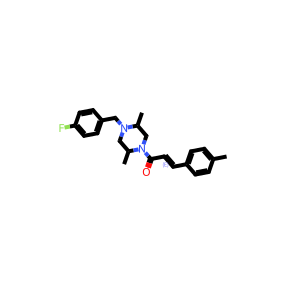 Cc1ccc(/C=C/C(=O)N2CC(C)N(Cc3ccc(F)cc3)CC2C)cc1